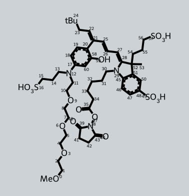 COCCOCCOCCOCCN(CCCS(=O)(=O)O)c1ccc(C(=C\CC(C)(C)C)/C=C/C=C2\N(CCCCCC(=O)ON3C(=O)CCC3=O)c3ccc(S(=O)(=O)O)cc3C2(C)CCCS(=O)(=O)O)c(O)c1